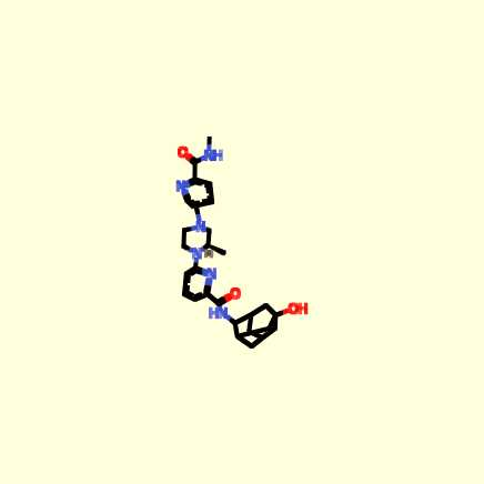 CNC(=O)c1ccc(N2CCN(c3cccc(C(=O)NC4C5CC6CC4CC(O)(C6)C5)n3)[C@H](C)C2)cn1